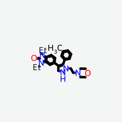 CCn1c(=O)n(CC)c2cc(C3=C(c4cccc(C)c4)N(CCN4CCOCC4)NC3)ccc21